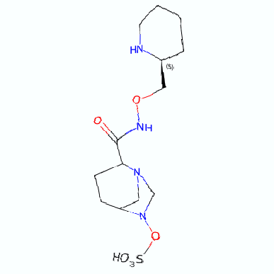 O=C(NOC[C@@H]1CCCCN1)C1CCC2CN1CN2OS(=O)(=O)O